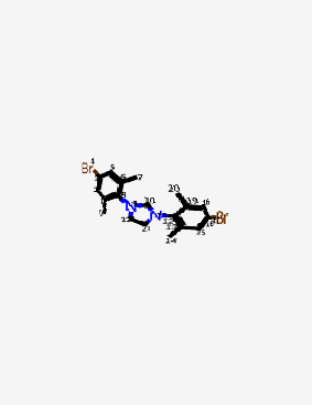 Cc1cc(Br)cc(C)c1N1[C]N(c2c(C)cc(Br)cc2C)CC1